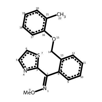 CON=C(c1nccs1)c1ccccc1COc1ccccc1C